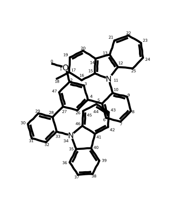 COc1cc(-c2ccccc2-n2c3c(c4c2CC(C)C=C4)C=CC=CC3)cc(-c2ccccc2-n2c3ccccc3c3ccccc32)c1